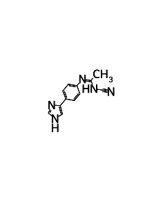 CC(=Nc1ccc(-c2c[nH]cn2)cc1)NC#N